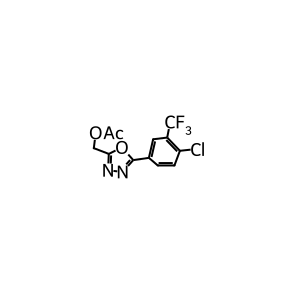 CC(=O)OCc1nnc(-c2ccc(Cl)c(C(F)(F)F)c2)o1